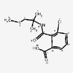 CSCC(C)(C)NC(=O)c1c(Cl)cccc1C(=O)O